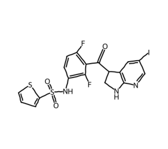 O=C(c1c(F)ccc(NS(=O)(=O)c2cccs2)c1F)C1CNc2ncc(I)cc21